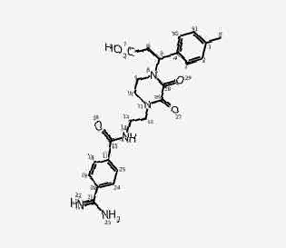 Cc1ccc(C(CC(=O)O)N2CCN(CCNC(=O)c3ccc(C(=N)N)cc3)C(=O)C2=O)cc1